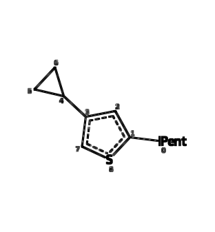 CCCC(C)c1cc(C2CC2)cs1